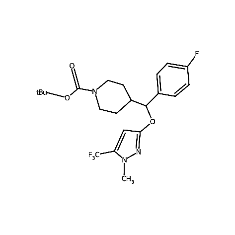 Cn1nc(OC(c2ccc(F)cc2)C2CCN(C(=O)OC(C)(C)C)CC2)cc1C(F)(F)F